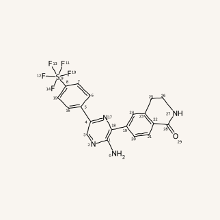 Nc1ncc(-c2ccc(S(F)(F)(F)(F)F)cc2)nc1-c1ccc2c(c1)CCNC2=O